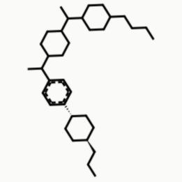 CCCCC1CCC(C(C)C2CCC(C(C)c3ccc([C@H]4CC[C@H](CCC)CC4)cc3)CC2)CC1